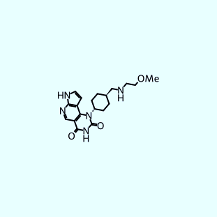 COCCNC[C@H]1CC[C@H](n2c(=O)[nH]c(=O)c3cnc4[nH]ccc4c32)CC1